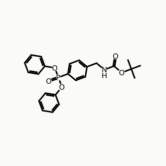 CC(C)(C)OC(=O)NCc1ccc(P(=O)(Oc2ccccc2)Oc2ccccc2)cc1